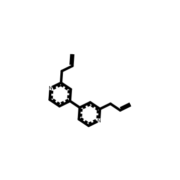 C=CCc1cc(-c2ccnc(CC=C)c2)ccn1